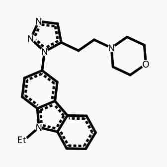 CCn1c2ccccc2c2cc(-n3nncc3CCN3CCOCC3)ccc21